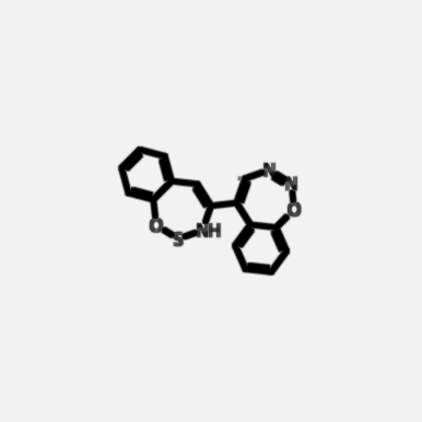 [C]1=C(c2cc3ccccc3os[nH]2)c2ccccc2ON=N1